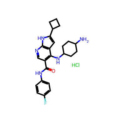 Cl.NC1CCC(Nc2c(C(=O)Nc3ccc(F)cc3)cnc3[nH]c(C4CCC4)cc23)CC1